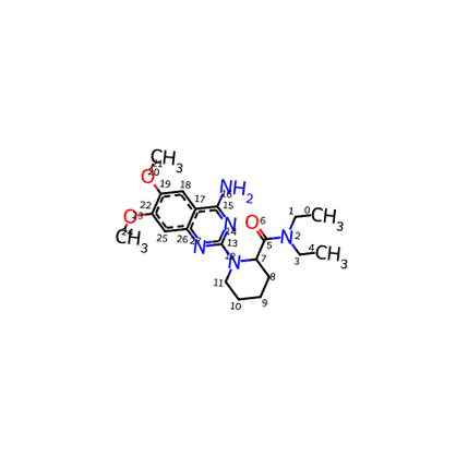 CCN(CC)C(=O)C1CCCCN1c1nc(N)c2cc(OC)c(OC)cc2n1